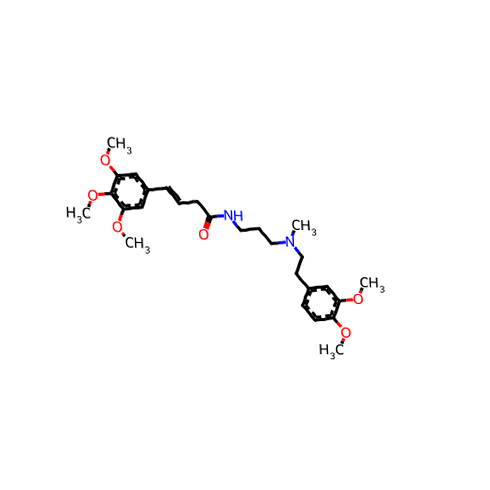 COc1ccc(CCN(C)CCCNC(=O)C/C=C/c2cc(OC)c(OC)c(OC)c2)cc1OC